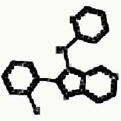 Clc1ccccc1-c1nc2ccncc2n1Nc1ccccn1